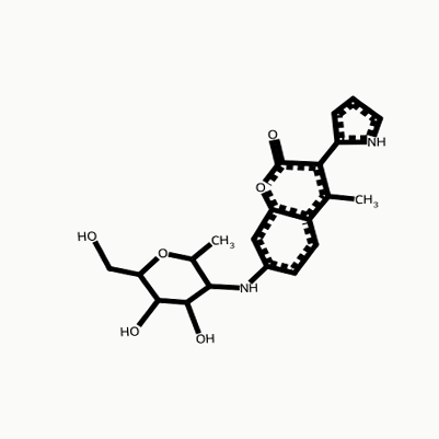 Cc1c(-c2ccc[nH]2)c(=O)oc2cc(NC3C(C)OC(CO)C(O)C3O)ccc12